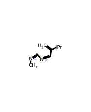 C=C(/C=N\C=N/C)C(C)C